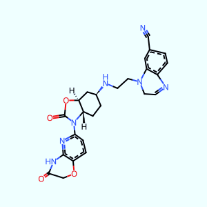 N#Cc1ccc2c(c1)N(CCN[C@H]1CC[C@H]3[C@H](C1)OC(=O)N3c1ccc3c(n1)NC(=O)CO3)CC=N2